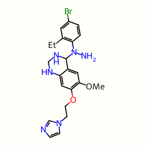 CCc1cc(Br)ccc1N(N)C1NCNc2cc(OCCn3ccnc3)c(OC)cc21